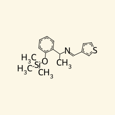 CC(N=Cc1ccsc1)c1ccccc1O[Si](C)(C)C